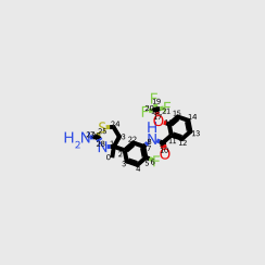 CC1(c2ccc(F)c(NC(=O)c3ccccc3OC(F)(F)F)c2)CCSC(N)=N1